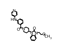 COCCn1c(=O)n(C2CCN(C(=O)c3cccc(Nc4ccncc4)c3)CC2)c2ccccc21